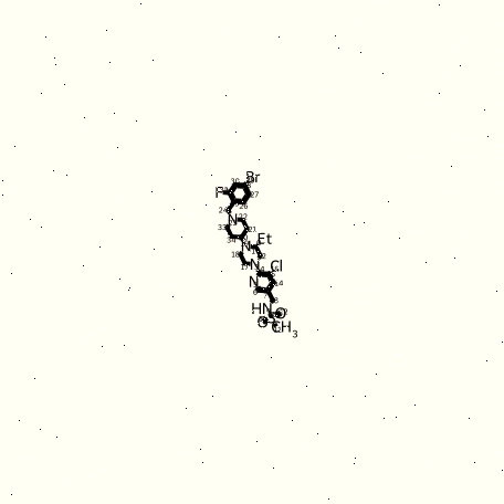 CC[C@H]1CN(c2ncc(CNS(C)(=O)=O)cc2Cl)CCN1C1CCN(Cc2ccc(Br)cc2F)CC1